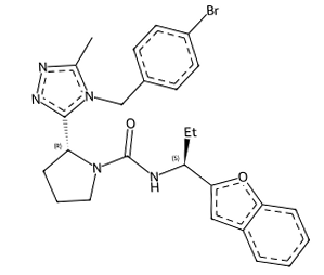 CC[C@H](NC(=O)N1CCC[C@@H]1c1nnc(C)n1Cc1ccc(Br)cc1)c1cc2ccccc2o1